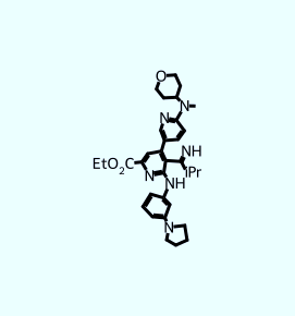 CCOC(=O)c1cc(-c2ccc(N(C)C3CCOCC3)nc2)c(C(=N)C(C)C)c(Nc2cccc(N3CCCC3)c2)n1